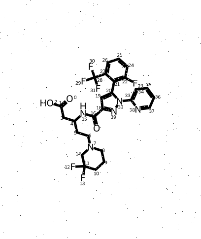 O=C(O)CC(CCN1CCCC(F)(F)C1)NC(=O)c1cc(-c2c(F)cccc2C(F)(F)F)n(-c2ccccn2)n1